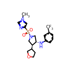 Cn1cnc(S(=O)(=O)N2C[C@H](Nc3cccc(C(F)(F)F)c3)[C@@H](C3CCOC3)C2)c1